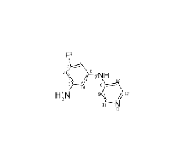 Nc1cc(F)cc(Nc2ccncc2)c1